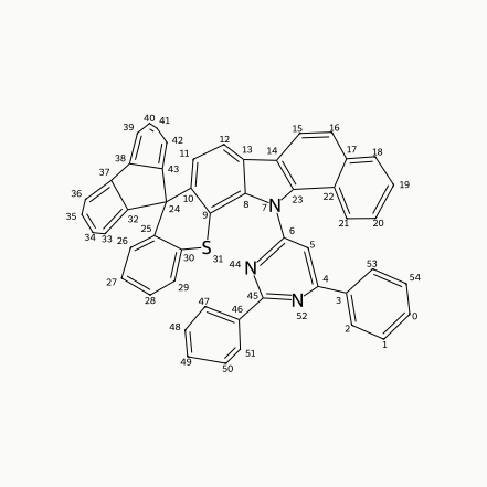 c1ccc(-c2cc(-n3c4c5c(ccc4c4ccc6ccccc6c43)C3(c4ccccc4S5)c4ccccc4-c4ccccc43)nc(-c3ccccc3)n2)cc1